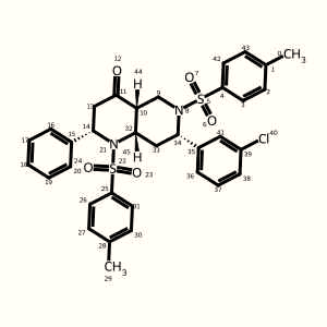 Cc1ccc(S(=O)(=O)N2C[C@H]3C(=O)C[C@@H](c4ccccc4)N(S(=O)(=O)c4ccc(C)cc4)[C@H]3C[C@H]2c2cccc(Cl)c2)cc1